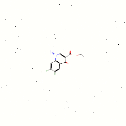 CCOC(=O)c1cn(N)c2cc(Cl)c(F)cc2c1=O